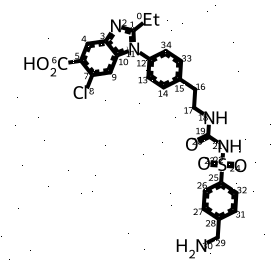 CCc1nc2cc(C(=O)O)c(Cl)cc2n1-c1ccc(CCNC(=O)NS(=O)(=O)c2ccc(CN)cc2)cc1